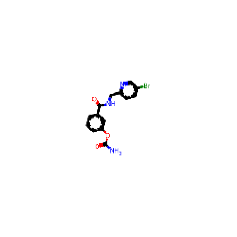 NC(=O)Oc1cccc(C(=O)NCc2ccc(Br)cn2)c1